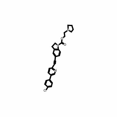 O=C(OCCN1CCCC1)N1CCc2cc(C#Cc3ccc(-c4ccc(Cl)cc4)cn3)ccc21